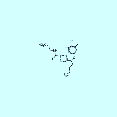 Cc1cc(OC(CCCC(F)(F)F)c2ccc(C(=O)NCCC(=O)O)cc2)cc(C)c1Br